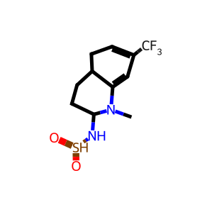 CN1C2=CC(C(F)(F)F)=CCC2CCC1N[SH](=O)=O